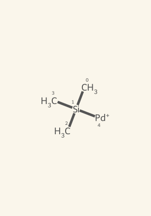 C[Si](C)(C)[Pd+]